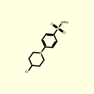 CCC1CCN(c2ccc(S(=O)(=O)NC)cc2)CC1